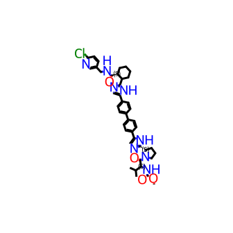 COC(=O)N[C@H](C(=O)N1CCC[C@H]1c1ncc(-c2ccc(-c3ccc(-c4cnc(C5CCCC[C@@H]5C(=O)NCc5ccc(Cl)nc5)[nH]4)cc3)cc2)[nH]1)C(C)C